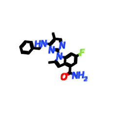 Cc1cnc(-n2c(C)cc3c(C(N)=O)cc(F)cc32)nc1NCc1ccccc1